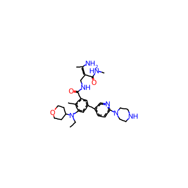 CCN(c1cc(-c2ccc(N3CCNCC3)nc2)cc(C(=O)NC/C(C(=O)NC)=C(\C)N)c1C)C1CCOCC1